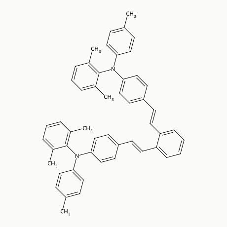 Cc1ccc(N(c2ccc(C=Cc3ccccc3C=Cc3ccc(N(c4ccc(C)cc4)c4c(C)cccc4C)cc3)cc2)c2c(C)cccc2C)cc1